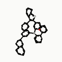 c1ccc(-c2ccccc2N(c2cccc(-c3ccc4ccccc4c3)c2)c2cccc(-c3oc4ccccc4c3-c3ccccc3)c2)cc1